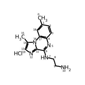 Cc1ccc2nc(NCCN)c3ncc(C)n3c2c1.Cl